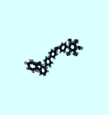 [2H]c1c([2H])c([2H])c(-c2ccc(Nc3ccc(-c4ccc(-c5cccc6c5oc5ccccc56)cc4)cc3)cc2)c([2H])c1[2H]